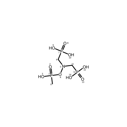 CP(=O)(O)ON(CP(=O)(O)O)CP(=O)(O)O